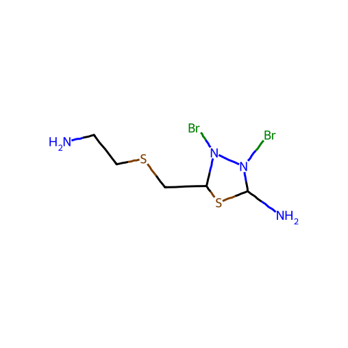 NCCSCC1SC(N)N(Br)N1Br